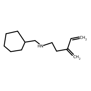 C=CC(=C)CCNCC1CCCCC1